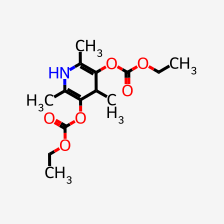 CCOC(=O)OC1=C(C)NC(C)=C(OC(=O)OCC)C1C